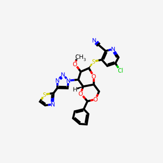 COC1C(n2cc(-c3nccs3)nn2)[C@H]2OC(c3ccccc3)OCC2O[C@@H]1Sc1cc(Cl)cnc1C#N